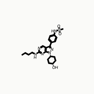 CCCCNc1ncc2c(-c3ccc(NS(C)(=O)=O)cc3)nn([C@H]3CC[C@@H](O)CC3)c2n1